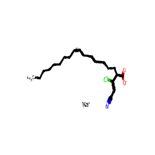 CCCCCCCC/C=C\CCCCCCC(C(=O)[O-])C(Cl)=CC#N.[Na+]